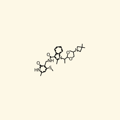 CSc1cc(C)[nH]c(=O)c1CNC(=O)c1c(C)n(C(C)C2OCC(N3CC(C)(C)C3)CO2)c2ccccc12